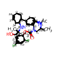 CC(=O)N1c2ccc(C3=C(NC(C)(C)CO)CC=CC=C3)cc2N(C(=O)Oc2ccc(F)cc2F)CC1C